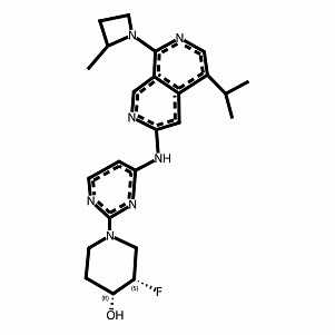 CC(C)c1cnc(N2CCC2C)c2cnc(Nc3ccnc(N4CC[C@@H](O)[C@@H](F)C4)n3)cc12